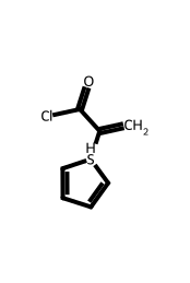 C=C(C(=O)Cl)[SH]1C=CC=C1